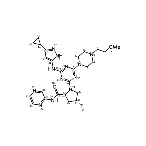 COCCN1CCN(c2nc(Nc3cc(C4CC4)n[nH]3)nc(N3C[C@H](F)C[C@H]3C(=O)Nc3cnccn3)n2)CC1